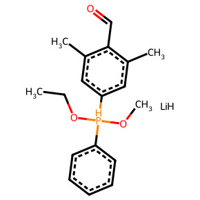 CCO[PH](OC)(c1ccccc1)c1cc(C)c(C=O)c(C)c1.[LiH]